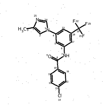 Cc1cn(-c2cc(NC(=O)c3ccc(Cl)cc3)cc(C(F)(F)F)c2)cn1